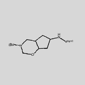 CCCC(C)NC1CC2CN(C(C)(C)C)COC2C1